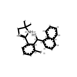 CC1(C)CN=C(c2cccc(F)c2C(S)c2cccc3ccccc23)N1